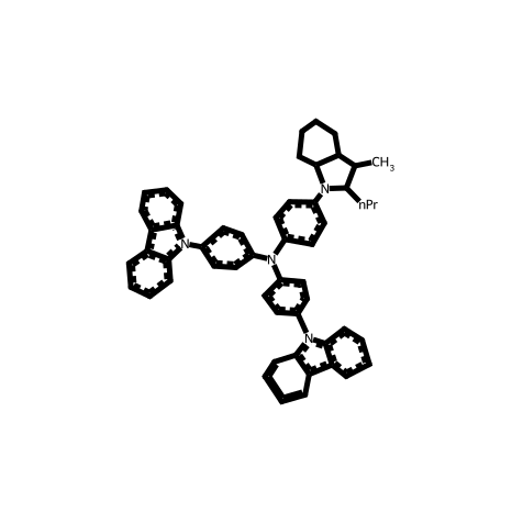 CCCC1C(C)C2CCCCC2N1c1ccc(N(c2ccc(-n3c4c(c5ccccc53)C=C=C=C4)cc2)c2ccc(-n3c4ccccc4c4ccccc43)cc2)cc1